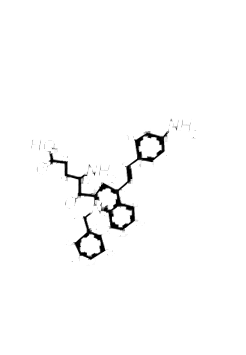 Nc1ccc(C=Cc2cc(C(=O)C(N)CCC(=O)O)[n+](Cc3ccccc3)c3ccccc23)cc1